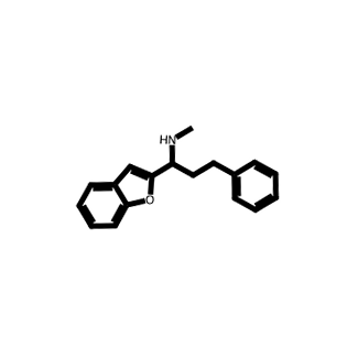 CNC(CCc1ccccc1)c1cc2ccccc2o1